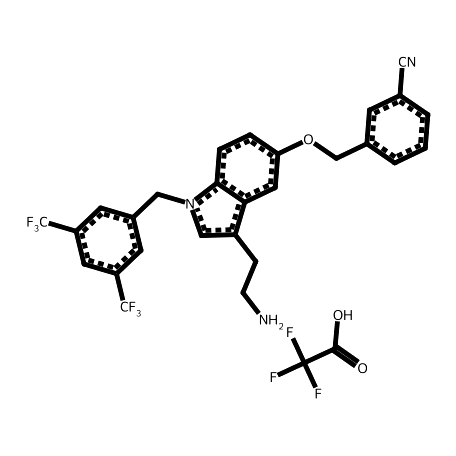 N#Cc1cccc(COc2ccc3c(c2)c(CCN)cn3Cc2cc(C(F)(F)F)cc(C(F)(F)F)c2)c1.O=C(O)C(F)(F)F